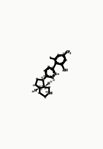 Cc1cc(C(F)(F)F)cc(O)c1-c1ccc(N2CC[C@@H]3CCNC[C@@H]32)nn1